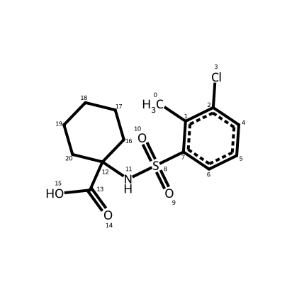 Cc1c(Cl)cccc1S(=O)(=O)NC1(C(=O)O)CCCCC1